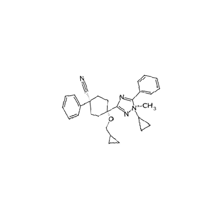 C[N+]1(C2CC2)N=C([C@]2(OCC3CC3)CC[C@](C#N)(c3ccccc3)CC2)N=C1c1ccccc1